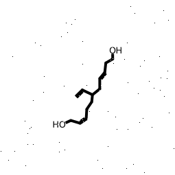 C=CC(C/C=C/CCO)CC/C=C\CO